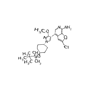 COc1nn([C@H]2CC[C@H](O[Si](C)(C)C(C)(C)C)CC2)cc1-c1cnc(N)c2oc(Cl)cc12